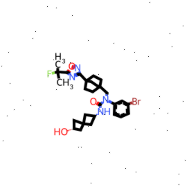 CC(C)(F)c1nc(C23CCC(CN(C(=O)N[C@H]4CC5(C[C@@H](O)C5)C4)c4cccc(Br)c4)(CC2)CC3)no1